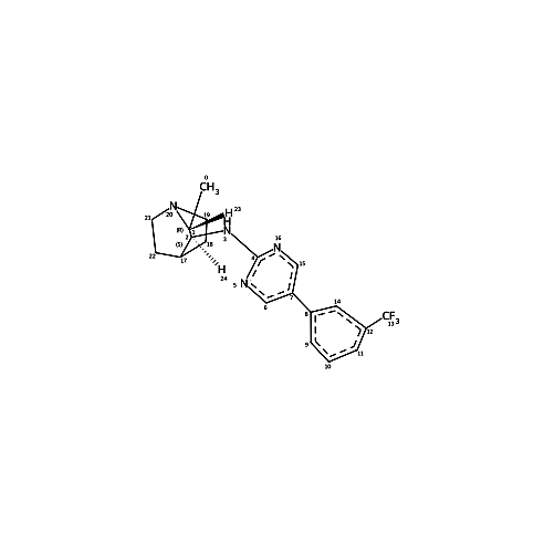 C[C@@H]1[C@@H](Nc2ncc(-c3cccc(C(F)(F)F)c3)cn2)C2CCN1CC2